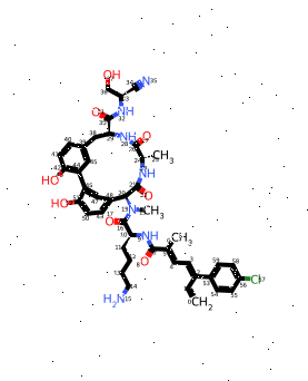 C=C/C(=C\C=C(/C)C(=O)N[C@@H](CCCCN)C(=O)N(C)[C@@H]1C(=O)N[C@@H](C)C(=O)N[C@H](C(=O)N[C@H](C#N)CO)Cc2ccc(O)c(c2)-c2cc1ccc2O)c1ccc(Cl)cc1